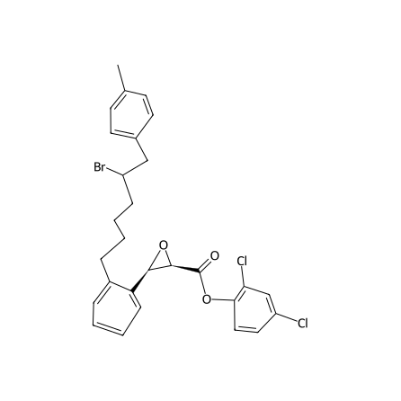 Cc1ccc(CC(Br)CCCCc2ccccc2[C@H]2O[C@H]2C(=O)Oc2ccc(Cl)cc2Cl)cc1